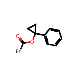 CCC(=O)OC1(c2ccccc2)CC1